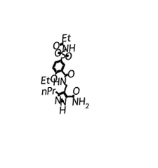 CCCc1n[nH]c(C(N)=O)c1CNC(=O)c1cc(S(=O)(=O)NC(=O)CC)ccc1OCC